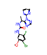 COc1cc(NC(=O)NC(C)c2ncnn2-c2ncccn2)c(F)cc1Br